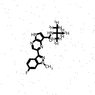 [2H]C([2H])([2H])C(NC(=O)c1c[nH]c2ncc(-c3nn(C)c4cc(F)ccc34)nc12)(C([2H])([2H])[2H])C([2H])([2H])[2H]